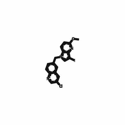 COc1ccc2c(n1)c(I)cn2Cc1ccc2ncc(Cl)cc2c1